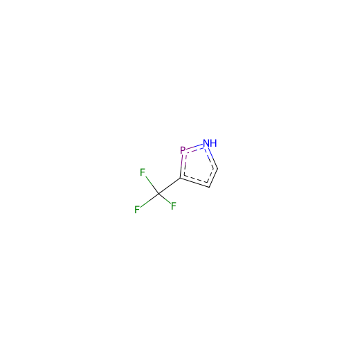 FC(F)(F)c1cc[nH]p1